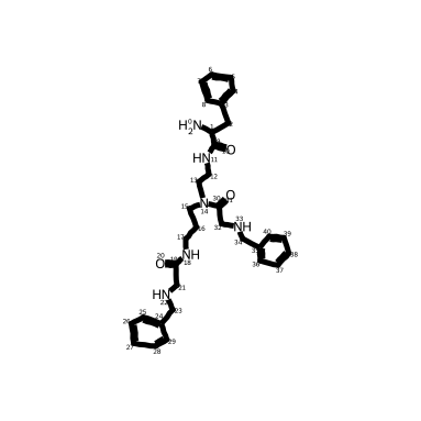 NC(Cc1ccccc1)C(=O)NCCN(CCCNC(=O)CNCc1ccccc1)C(=O)CNCc1ccccc1